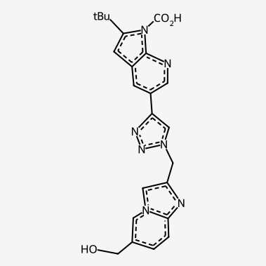 CC(C)(C)c1cc2cc(-c3cn(Cc4cn5cc(CO)ccc5n4)nn3)cnc2n1C(=O)O